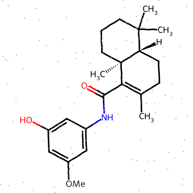 COc1cc(O)cc(NC(=O)C2=C(C)CC[C@H]3C(C)(C)CCC[C@]23C)c1